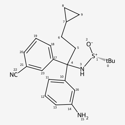 CC(C)(C)[S@@+]([O-])NC(CCC1CC1)(c1cccc(N)c1)c1cccc(C#N)c1